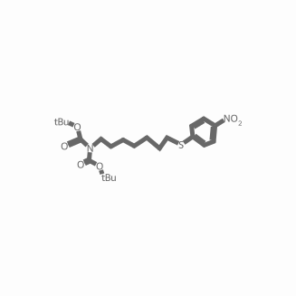 CC(C)(C)OC(=O)N(CCCCCCCSc1ccc([N+](=O)[O-])cc1)C(=O)OC(C)(C)C